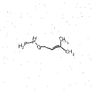 CC(C)=CCOPP